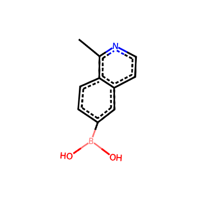 Cc1nccc2cc(B(O)O)ccc12